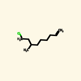 C=CCCCCC(C)C[SiH2]Cl